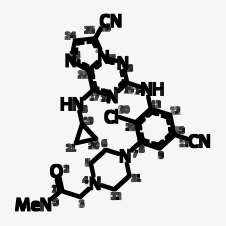 CNC(=O)CN1CCN(c2cc(C#N)cc(Nc3nc(NC4CC4)c4ncc(C#N)n4n3)c2Cl)CC1